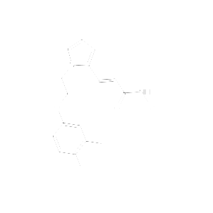 O=C(C=Cc1cccn1CCOc1ccc(F)c(F)c1)NO